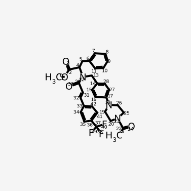 COC(=O)C(Cc1ccccc1)N(Cc1ccc(N2CCN(C(C)=O)CC2)cc1)C(=O)C=Cc1ccc(C(F)(F)F)cc1